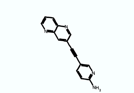 Nc1ccc(C#Cc2cnc3cccnc3c2)cn1